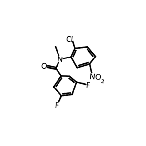 CN(C(=O)c1cc(F)cc(F)c1)c1cc([N+](=O)[O-])ccc1Cl